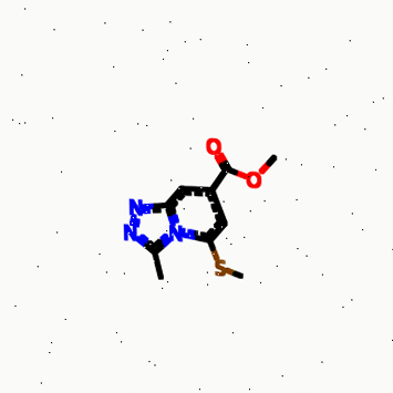 COC(=O)c1cc(SC)n2c(C)nnc2c1